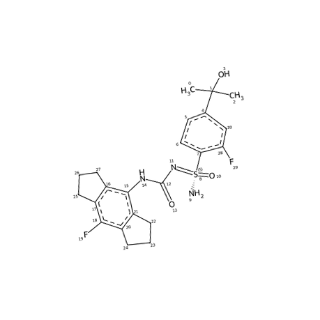 CC(C)(O)c1ccc([S@@](N)(=O)=NC(=O)Nc2c3c(c(F)c4c2CCC4)CCC3)c(F)c1